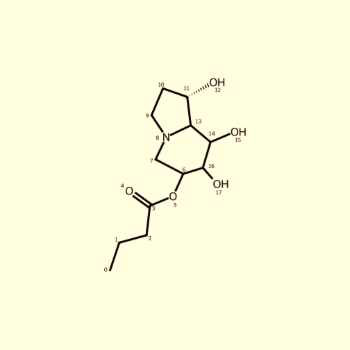 CCCC(=O)OC1CN2CC[C@H](O)C2C(O)C1O